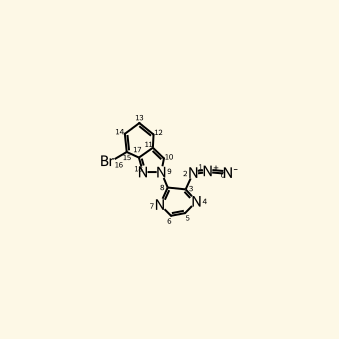 [N-]=[N+]=Nc1nccnc1-n1cc2cccc(Br)c2n1